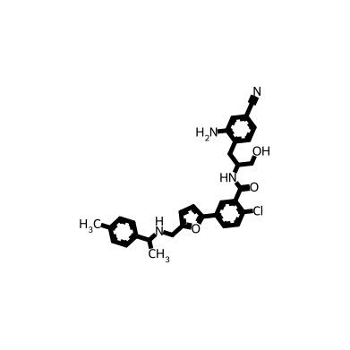 Cc1ccc(C(C)NCc2ccc(-c3ccc(Cl)c(C(=O)NC(CO)Cc4ccc(C#N)cc4N)c3)o2)cc1